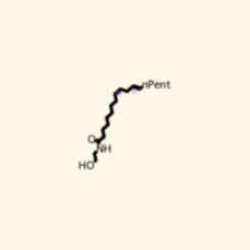 CCCCC/C=C/C/C=C\CCCCCCCC(=O)NCCO